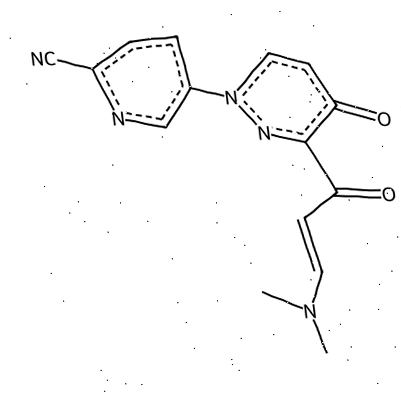 CN(C)/C=C/C(=O)c1nn(-c2ccc(C#N)nc2)ccc1=O